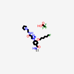 CCNC(=O)c1ccc(-n2cc(C(=O)NCCN3CCCC3)nn2)c(OCCCCCCF)c1.O=C(O)C(F)(F)F